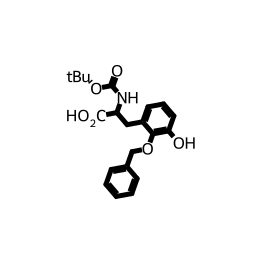 CC(C)(C)OC(=O)NC(Cc1cccc(O)c1OCc1ccccc1)C(=O)O